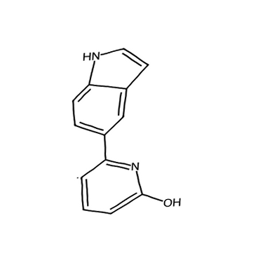 Oc1cc[c]c(-c2ccc3[nH]ccc3c2)n1